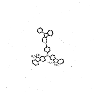 CC1(C)c2ccccc2-c2ccc(N(c3ccc(C4C=Cc5c(c6ccccc6n5-c5ccccc5)C4)cc3)c3ccc4c(c3)C(C)(C)c3ccccc3-4)cc21